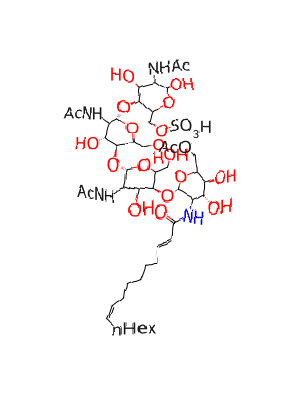 CCCCCC/C=C\CCCCC/C=C/C(=O)NC1[C@H](O[C@@H]2C(CO)O[C@@H](O[C@@H]3C(CO)O[C@@H](O[C@@H]4C(COS(=O)(=O)O)OC(O)C(NC(C)=O)C4O)C(NC(C)=O)[C@H]3O)C(NC(C)=O)C2O)OC(COC(C)=O)[C@@H](O)[C@@H]1O